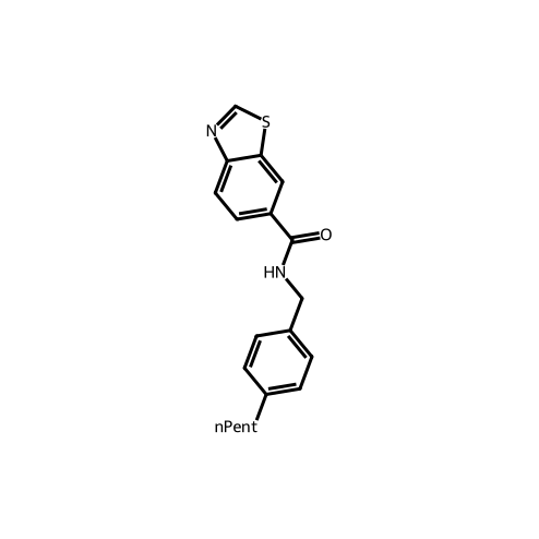 CCCCCc1ccc(CNC(=O)c2ccc3ncsc3c2)cc1